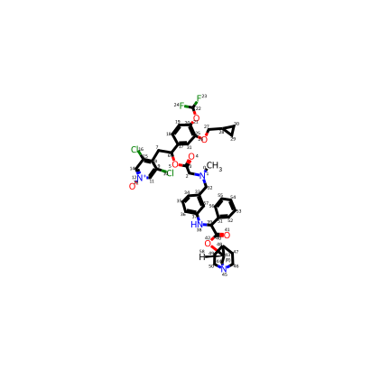 CN(CC(=O)OC(Cc1c(Cl)c[n+]([O-])cc1Cl)c1ccc(OC(F)F)c(OCC2CC2)c1)Cc1cccc(NC(C(=O)O[C@H]2CN3CCC2CC3)c2ccccc2)c1